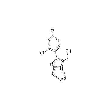 OCc1c(-c2ccc(Cl)cc2Cl)nc2cnccn12